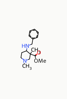 COC(=O)C1(C)CN(C)CCC1NCc1ccccc1